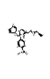 C#CCOCC1COC(Cn2ccnc2)(c2ccc([N+](=O)[O-])cc2)O1